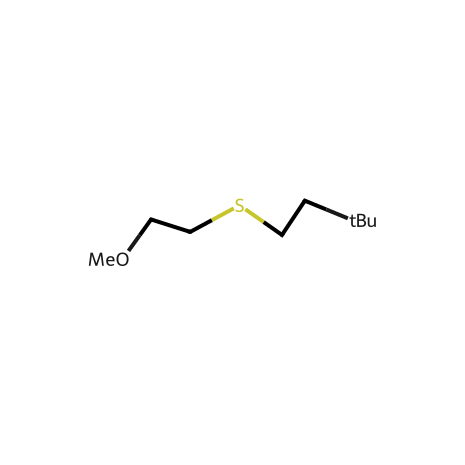 COCCSCCC(C)(C)C